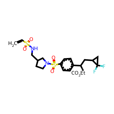 C=CS(=O)(=O)NCC1CCN(S(=O)(=O)c2ccc(C(CC3CC3(F)F)C(=O)OCC)cc2)C1